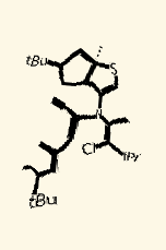 C#C/C(=C\C(=C)CC(C)C(C)(C)C)N(C1=CS[C@]2(C)CC(C(C)(C)C)CC12)/C(C)=C(\Cl)C(C)C